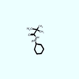 CC(C)(C)C(=O)NNC1CCCCC1